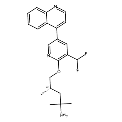 C[C@H](COc1ncc(-c2ccnc3ccccc23)cc1C(F)F)CC(C)(C)N